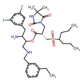 CCCC(CCC)S(=O)(=O)C[C@@H](CN1C(=O)NC(C)(C)C1=O)C(=O)OC(CNCc1cccc(CC)c1)C(N)Cc1cc(F)cc(F)c1